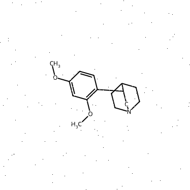 COc1ccc(C2CN3CCC2CC3)c(OC)c1